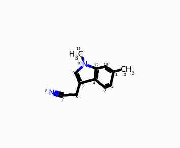 Cc1ccc2c(CC#N)cn(C)c2c1